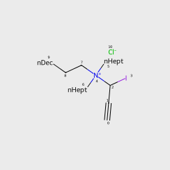 C#CC(I)[N+](CCCCCCC)(CCCCCCC)CCCCCCCCCCCC.[Cl-]